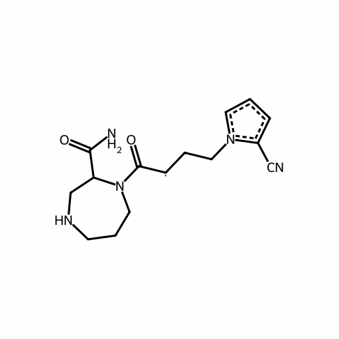 N#Cc1cccn1CC[CH]C(=O)N1CCCNCC1C(N)=O